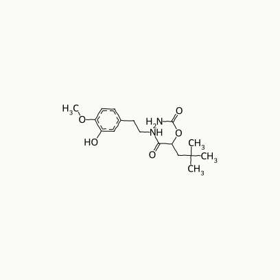 COc1ccc(CCNC(=O)C(CC(C)(C)C)OC(N)=O)cc1O